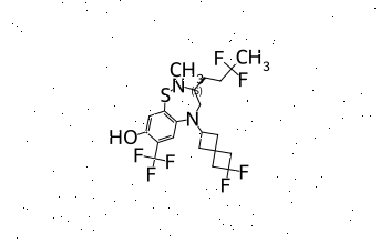 CN1Sc2cc(O)c(C(F)(F)F)cc2N(C2CC3(C2)CC(F)(F)C3)C[C@@H]1CCC(C)(F)F